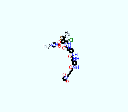 Cc1csc2c(OC(=O)N3CCN(C)CC3)cc3c(c12)[C@@H](CCl)CN3C(=O)c1cc2cc(NC(=O)c3cc4cc(NC(=O)CCCCCN5C(=O)C=CC5=O)ccc4[nH]3)ccc2[nH]1